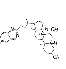 C[C@H](CCc1ncc2cc(F)ccc2n1)[C@H]1CC[C@H]2[C@H]3C(CC[C@]12C)[C@@]1(C)CC[C@@H](O)C[C@H]1C[C@H]3O